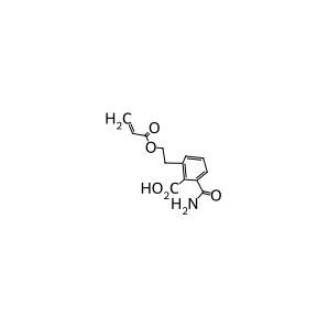 C=CC(=O)OCCc1cccc(C(N)=O)c1C(=O)O